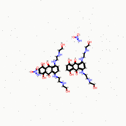 N=[N+]([O-])[O-].N=[N+]([O-])[O-].O=C1c2c(O)ccc(O)c2C(=O)c2c(NCCNCCO)ccc(NCCNCCO)c21.O=C1c2c(O)ccc(O)c2C(=O)c2c(NCCNCCO)ccc(NCCNCCO)c21